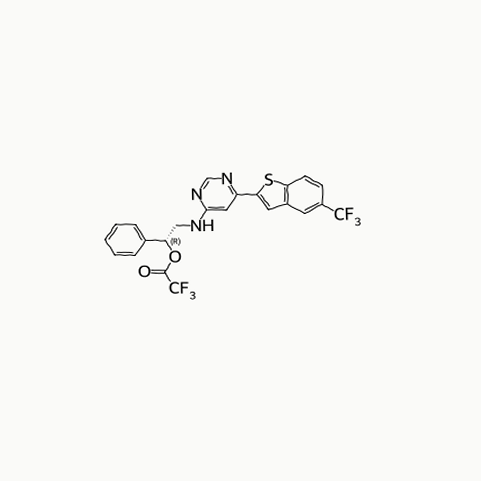 O=C(O[C@@H](CNc1cc(-c2cc3cc(C(F)(F)F)ccc3s2)ncn1)c1ccccc1)C(F)(F)F